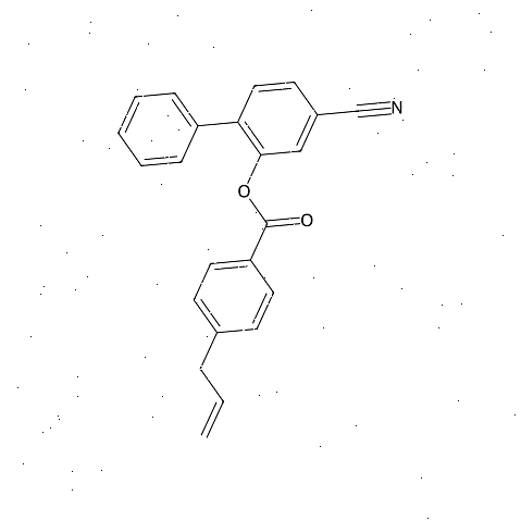 C=CCc1ccc(C(=O)Oc2cc(C#N)ccc2-c2ccccc2)cc1